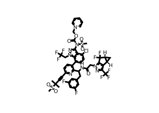 CC(C)(C#Cc1ccc(-c2ccc(Cl)c3c(N(C(=O)OC[n+]4ccccc4)S(C)(=O)=O)nn(CC(F)(F)F)c23)c(C(Cc2cc(F)cc(F)c2)NC(=O)Cn2nc(C(F)(F)F)c3c2C(F)(F)[C@@H]2C[C@H]32)n1)S(C)(=O)=O